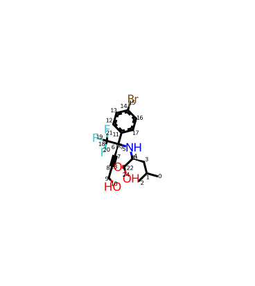 CC(C)C[C@H](N[C@@](C#CCO)(c1ccc(Br)cc1)C(F)(F)F)C(=O)O